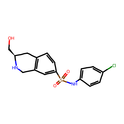 O=S(=O)(Nc1ccc(Cl)cc1)c1ccc2c(c1)CN[C@@H](CO)C2